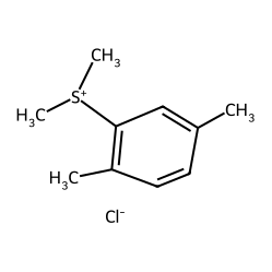 Cc1ccc(C)c([S+](C)C)c1.[Cl-]